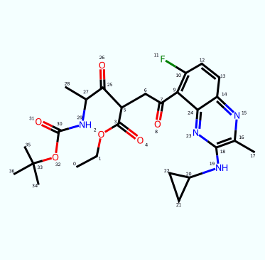 CCOC(=O)C(CC(=O)c1c(F)ccc2nc(C)c(NC3CC3)nc12)C(=O)C(C)NC(=O)OC(C)(C)C